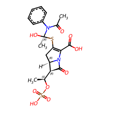 CC(=O)N(c1ccccc1)[C@](C)(O)SC1=C(C(=O)O)N2C(=O)[C@@H]([C@H](C)OS(=O)(=O)O)[C@H]2C1